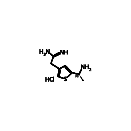 C[C@@H](N)c1cc(CC(=N)N)cs1.Cl